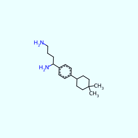 CC1(C)CCC(c2ccc(C(N)CCCN)cc2)CC1